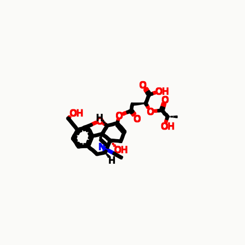 C[C@H](O)C(=O)O[C@@H](CC(=O)OC1=CC[C@@]2(O)[C@H]3Cc4ccc(CO)c5c4[C@@]2(CCN3C)[C@H]1O5)C(=O)O